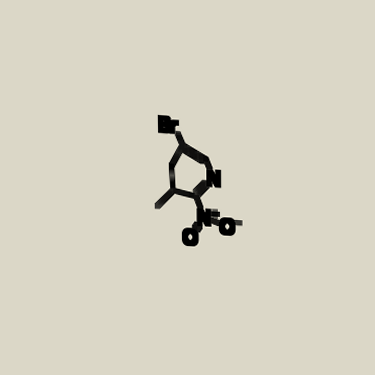 CC1CC(Br)=CN=C1[N+](=O)[O-]